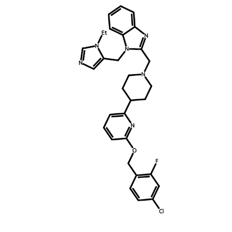 CCn1cncc1Cn1c(CN2CCC(c3cccc(OCc4ccc(Cl)cc4F)n3)CC2)nc2ccccc21